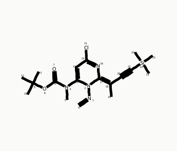 C=NN1C(N(C)C(=O)OC(C)(C)C)=CC(Cl)=N/C1=C(/C)C#C[Si](C)(C)C